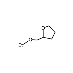 C[CH]OCC1CCCO1